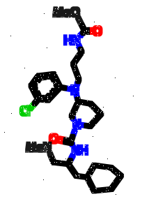 CNCC(CC1CCCCC1)NC(=O)N1CCCC(N(CCCNC(=O)OC)c2cccc(Cl)c2)C1